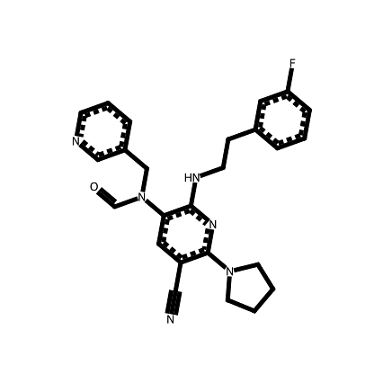 N#Cc1cc(N(C=O)Cc2cccnc2)c(NCCc2cccc(F)c2)nc1N1CCCC1